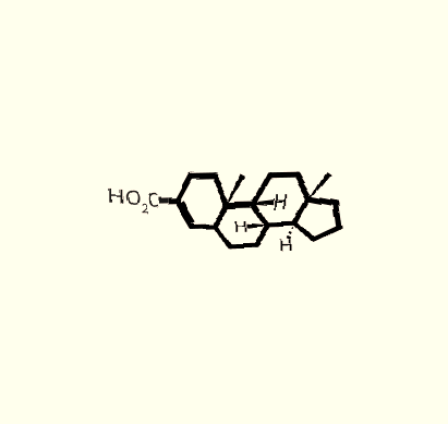 C[C@@]12CCC[C@H]1[C@@H]1CCC3C=C(C(=O)O)CC[C@]3(C)[C@@H]1CC2